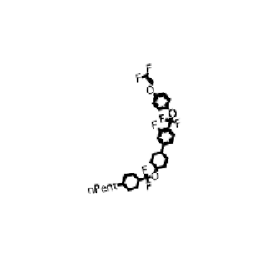 CCCCCC1CCC(C(F)(F)OC2CCC(c3ccc(C(F)(F)Oc4ccc(OC=C(F)F)cc4)c(F)c3)CC2)CC1